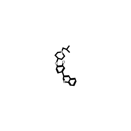 CC(C)CN1CCC(Oc2ccc(-c3cnc4ccccc4c3)cc2Cl)CC1